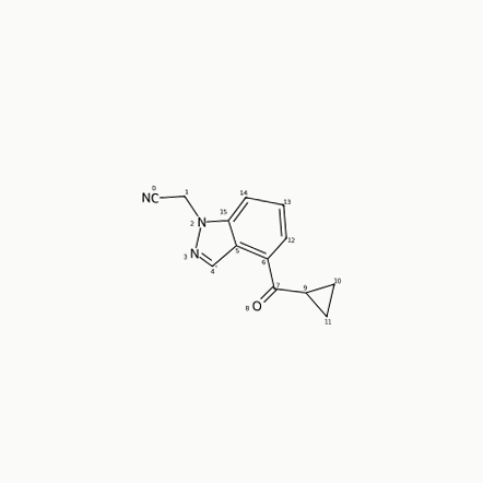 N#CCn1n[c]c2c(C(=O)C3CC3)cccc21